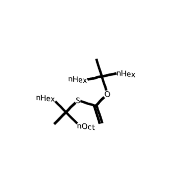 C=C(OC(C)(CCCCCC)CCCCCC)SC(C)(CCCCCC)CCCCCCCC